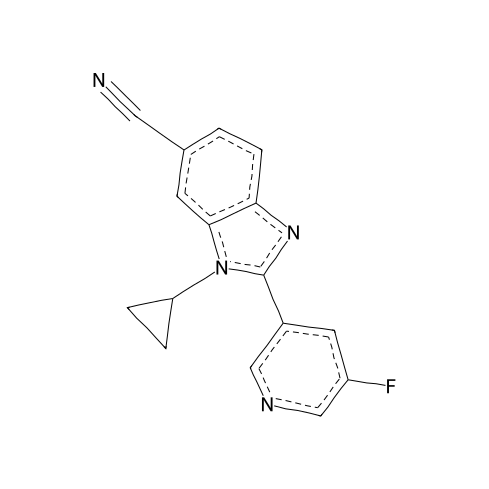 N#Cc1ccc2nc(-c3cncc(F)c3)n(C3CC3)c2c1